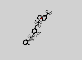 COC(=O)c1ccc(OC(OC)(C(=O)Cc2ccc(NC(=O)Nc3ccccc3C)c(OC)c2)N2CCCC2)cc1